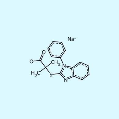 CC(C)(Sc1nc2ccccc2n1-c1ccccc1)C(=O)[O-].[Na+]